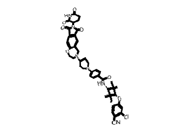 CC1(C)[C@H](NC(=O)c2ccc(N3CCC(N4CCOc5cc6c(cc5C4)C(=O)N(C4CCC(=O)NC4=O)C6=O)CC3)cc2)C(C)(C)[C@H]1Oc1ccc(C#N)c(Cl)c1